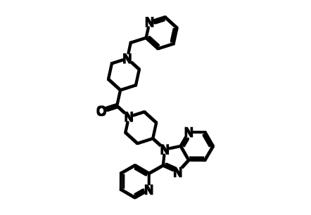 O=C(C1CCN(Cc2ccccn2)CC1)N1CCC(n2c(-c3ccccn3)nc3cccnc32)CC1